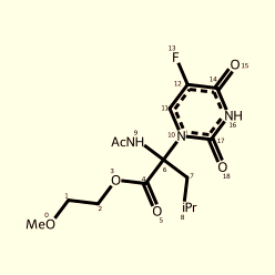 COCCOC(=O)C(CC(C)C)(NC(C)=O)n1cc(F)c(=O)[nH]c1=O